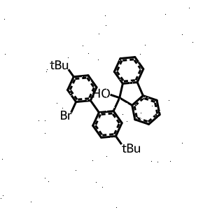 CC(C)(C)c1ccc(-c2ccc(C(C)(C)C)cc2C2(O)c3ccccc3-c3ccccc32)c(Br)c1